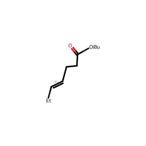 CC/C=C/CCC(=O)OCC(C)C